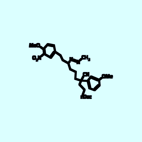 CCCCCCCCCCCCC(C#N)(CCCC(CCc1ccc(OC)c([N+](=O)[O-])c1)/N=N/C)c1cccc(OC)c1